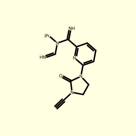 C#CN1CCN(c2cccc(C(=N)N(C=N)C(C)C)n2)C1=O